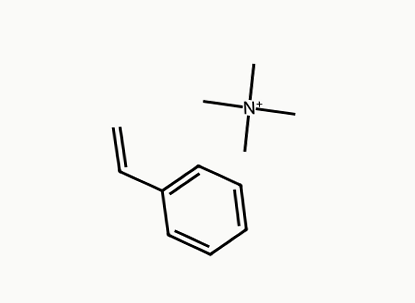 C=Cc1ccccc1.C[N+](C)(C)C